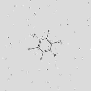 Cc1c(F)c(C(F)(F)F)c(F)c(F)c1C(C)C